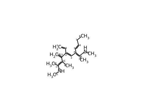 C=C\C(=C/C(/C=C/CC)=C(\C)NC)C(=C)/C(C)=C(\C)NC